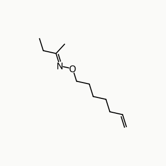 C=CCCCCCO/N=C(\C)CC